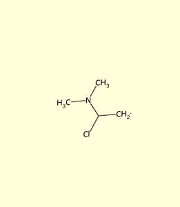 [CH2]C(Cl)N(C)C